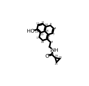 O=C(NCCC1=C2C=CCc3ccc(O)c(c32)CC1)C1CC1